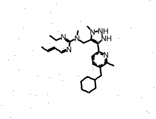 C/C=C/C=N\C(=N/CC)N(C)CC1=C(c2ccc(CC3CCCCC3)c(C)n2)NNN1C